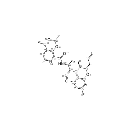 C=CC[C@@H](Oc1cc(F)cc(Cl)c1)[C@H](C)OC(=O)[C@H](C)NC(=O)c1nccc(OC)c1OC(C)=O